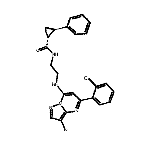 O=C(NCCNc1cc(-c2ccccc2Cl)nc2c(Br)cnn12)[C@@H]1C[C@H]1c1ccccc1